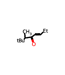 CCC=CC(=O)C(C)C(C)(C)C